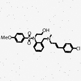 COc1ccc(S(=O)(=O)N(CCO)c2ccccc2CN(C)C/C=C/c2ccc(Cl)cc2)cc1